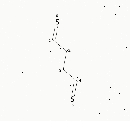 S=CCCC=S